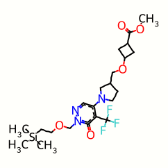 COC(=O)C1CC(OCC2CCN(c3cnn(COCC[Si](C)(C)C)c(=O)c3C(F)(F)F)C2)C1